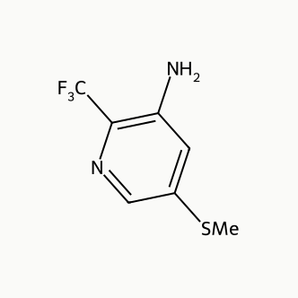 CSc1cnc(C(F)(F)F)c(N)c1